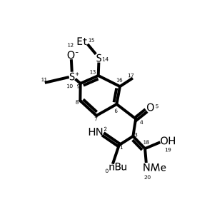 CCCCC(=N)/C(C(=O)c1ccc([S+](C)[O-])c(SCC)c1C)=C(/O)NC